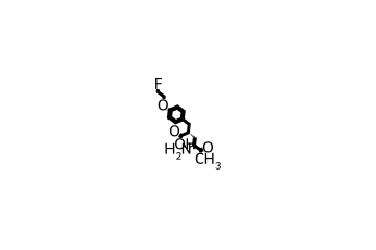 CC(=O)[C@H](N)C[C@@H](Cc1ccc(OCCF)cc1)C(=O)O